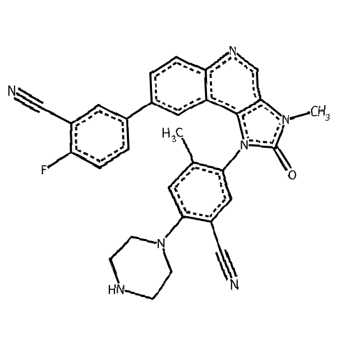 Cc1cc(N2CCNCC2)c(C#N)cc1-n1c(=O)n(C)c2cnc3ccc(-c4ccc(F)c(C#N)c4)cc3c21